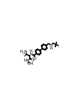 C[C@@H](N)[C@H](NC(=O)c1ccc(-c2ccc(CNCC(C)(C)C)cc2)cc1)C(=O)NO